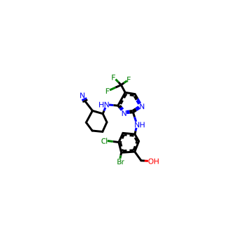 N#CC1CCCCC1Nc1nc(Nc2cc(Cl)c(Br)c(CO)c2)ncc1C(F)(F)F